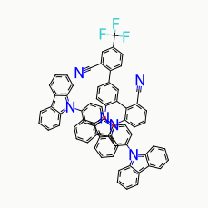 N#Cc1cc(C(F)(F)F)ccc1-c1ccc(-n2c3ccccc3c3cc(-n4c5ccccc5c5ccccc54)ccc32)c(-c2c(C#N)cccc2-n2c3ccccc3c3cc(-n4c5ccccc5c5ccccc54)ccc32)c1